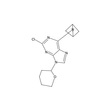 Clc1nc(N2CC3CC2C3)c2ncn(C3CCCCO3)c2n1